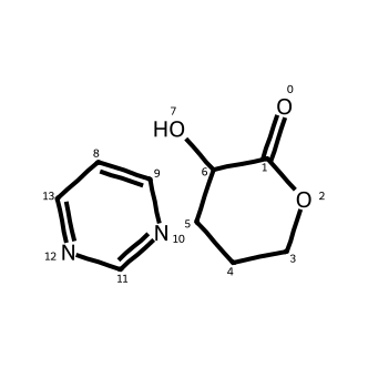 O=C1OCCCC1O.c1cncnc1